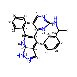 CC(Nc1nccc(-c2cc3cn[nH]c3nc2-c2ccccc2)n1)c1ccccc1